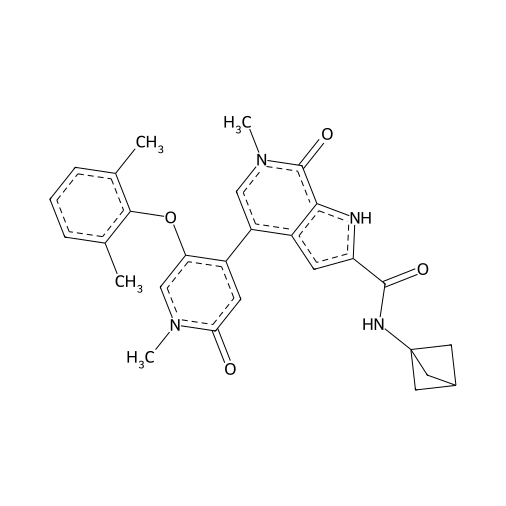 Cc1cccc(C)c1Oc1cn(C)c(=O)cc1-c1cn(C)c(=O)c2[nH]c(C(=O)NC34CC(C3)C4)cc12